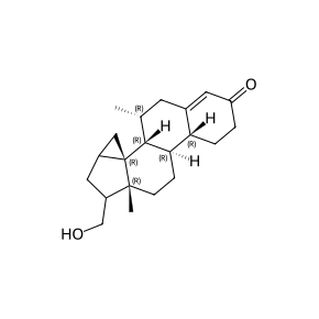 C[C@@H]1CC2=CC(=O)CC[C@@H]2[C@H]2CC[C@]3(C)C(CO)CC4C[C@]43[C@@H]21